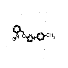 Cc1ccc(-n2ccc(OCc3ccccc3N=O)n2)cc1